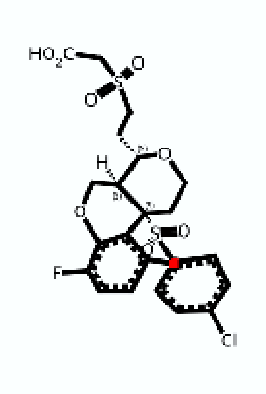 O=C(O)CS(=O)(=O)CC[C@@H]1OCC[C@@]2(S(=O)(=O)c3ccc(Cl)cc3)c3c(F)ccc(F)c3OC[C@@H]12